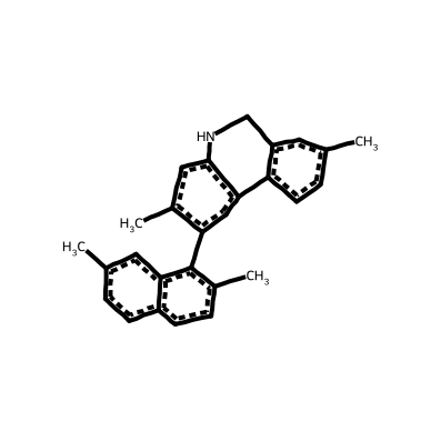 Cc1ccc2c(c1)CNc1cc(C)c(-c3c(C)ccc4ccc(C)cc34)cc1-2